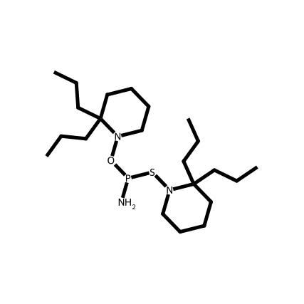 CCCC1(CCC)CCCCN1OP(N)SN1CCCCC1(CCC)CCC